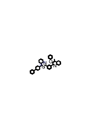 C=N/C(=C1/CCC=C/C1=N/Cc1cccc(C2=NC3=CC=CCC3C(C)=C2Oc2ccccc2)c1)C1C=CC(c2ccccc2)=CC1